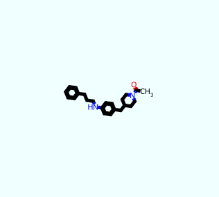 CC(=O)N1CCC(Cc2ccc(NCCCc3ccccc3)cc2)CC1